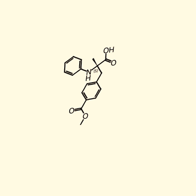 COC(=O)c1ccc(C[C@](C)(Nc2ccccc2)C(=O)O)cc1